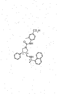 Cc1cc(C(=O)O)ccc1NC(=O)N1C[C@@H](CN[C@H](C)c2cccc3ccccc23)[C@@H](c2ccccc2)C1